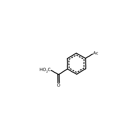 CC(=O)c1ccc(C(=O)C(=O)O)cc1